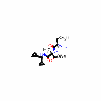 COC(=O)[C@@](C)(NC(=O)[C@@H](N)CC(=O)O)C(=O)NC(C1CC1)C1CC1